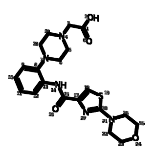 O=C(O)CN1CCN(c2ccccc2NC(=O)c2csc(N3CCOCC3)n2)CC1